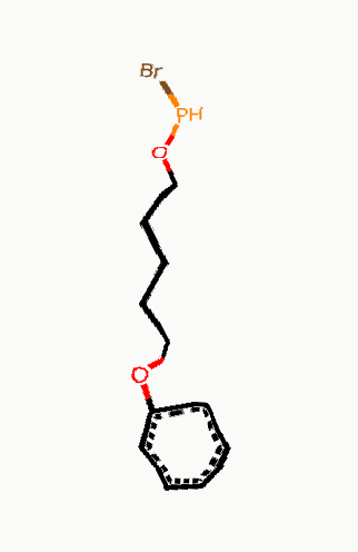 BrPOCCCCCOc1ccccc1